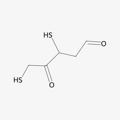 O=CCC(S)C(=O)CS